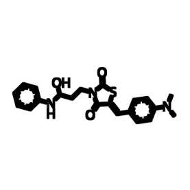 CN(C)c1ccc(/C=C2\SC(=O)N(CCC(O)Nc3ccccc3)C2=O)cc1